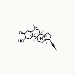 CC#CC1CC[C@H]2[C@@H]3C[C@H](C)C4=CC(=O)C(O)C[C@]4(C)[C@H]3CC[C@]12C